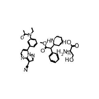 CCN(C(C)=O)c1cccc(-c2ccnc3c(C#N)cnn23)c1.COC(=O)C(c1ccccc1)C1CCCCN1.N[C@H](CO)C(=O)O